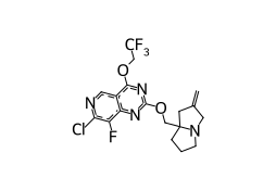 C=C1CN2CCCC2(COc2nc(OCC(F)(F)F)c3cnc(Cl)c(F)c3n2)C1